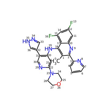 Cc1c(-c2ccccn2)nc2cc(F)cc(F)c2c1Nc1cc(N2CCOCC2)ncc1-c1cn[nH]c1